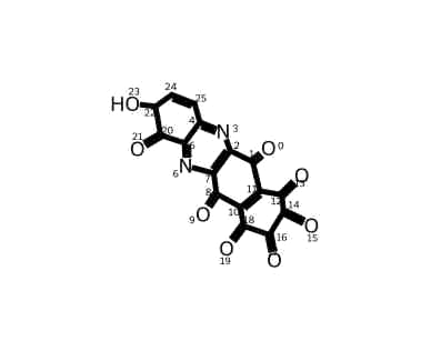 O=C1c2nc3c(nc2C(=O)c2c1c(=O)c(=O)c(=O)c2=O)C(=O)C(O)C=C3